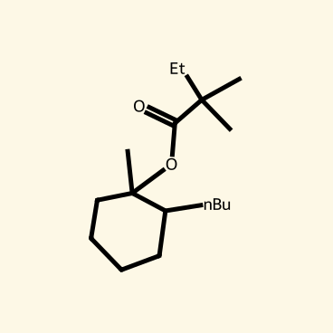 CCCCC1CCCCC1(C)OC(=O)C(C)(C)CC